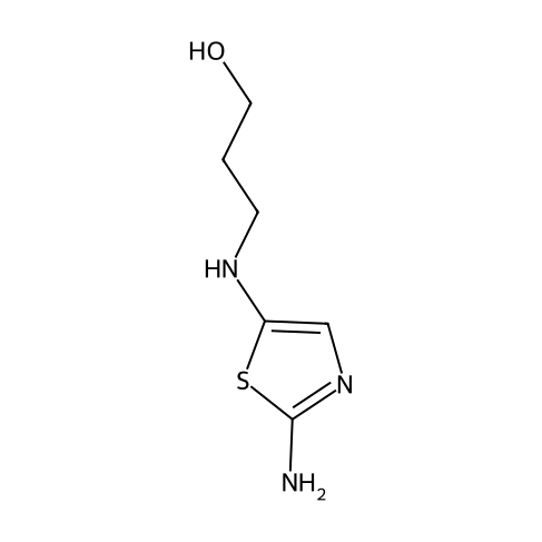 Nc1ncc(NCCCO)s1